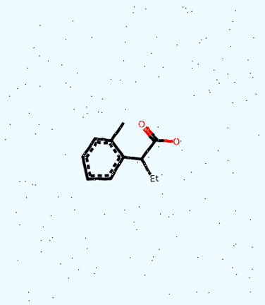 CCC(C([O])=O)c1ccccc1C